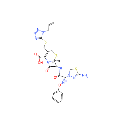 C=CCn1nnnc1SCC1=C(C(=O)O)N2C(=O)C(NC(=O)/C(=N\Oc3ccccc3)N3CSC(N)=N3)[C@H]2SC1